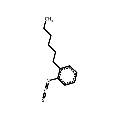 CCCCCCc1ccccc1N=C=S